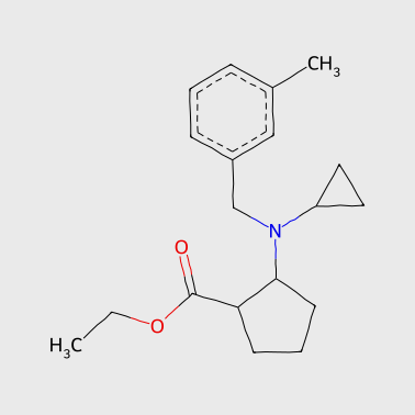 CCOC(=O)C1CCCC1N(Cc1cccc(C)c1)C1CC1